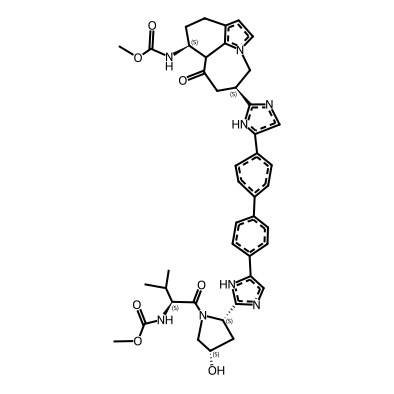 COC(=O)N[C@H]1CCc2ccn3c2C1C(=O)C[C@H](c1ncc(-c2ccc(-c4ccc(-c5cnc([C@@H]6C[C@H](O)CN6C(=O)[C@@H](NC(=O)OC)C(C)C)[nH]5)cc4)cc2)[nH]1)C3